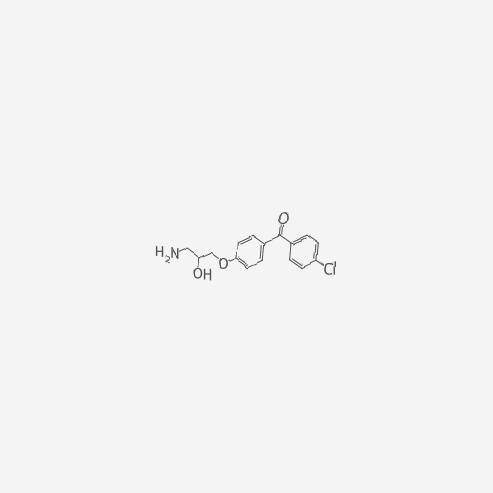 NCC(O)COc1ccc(C(=O)c2ccc(Cl)cc2)cc1